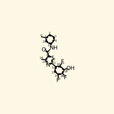 Cc1cccc(NC(=O)c2sc(-c3cc(F)c(F)c(O)c3F)nc2C)c1